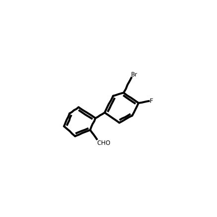 O=Cc1ccccc1-c1ccc(F)c(Br)c1